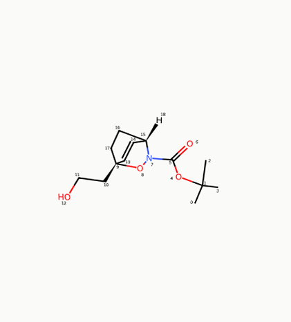 CC(C)(C)OC(=O)N1O[C@@]2(CCO)C=C[C@@H]1CC2